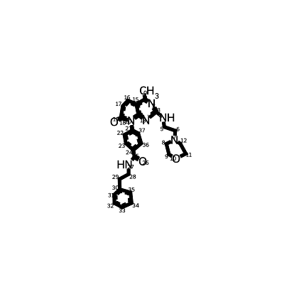 Cc1nc(NCCN2CCOCC2)nc2c1ccc(=O)n2-c1ccc(C(=O)NCCc2ccccc2)cc1